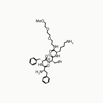 COCCOCCOCCNC(=O)[C@@H](CCCCN)NC(=O)[C@@H](CC(C)C)NC(=O)[C@@H](Cc1ccccc1)NC(=O)[C@H](N)Cc1ccccc1